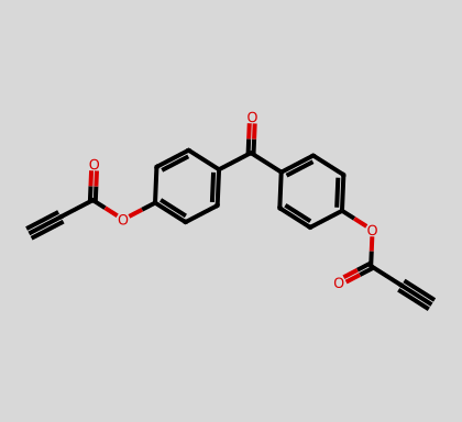 C#CC(=O)Oc1ccc(C(=O)c2ccc(OC(=O)C#C)cc2)cc1